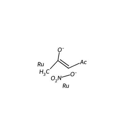 CC(=O)/C=C(/C)[O-].O=[N+]([O-])[O-].[Ru].[Ru]